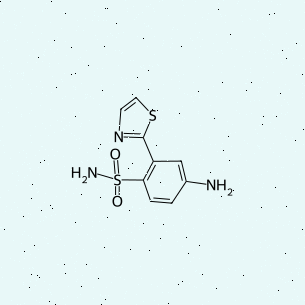 Nc1ccc(S(N)(=O)=O)c(-c2nccs2)c1